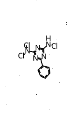 ClNc1nc(-c2ccccc2)nc(N(Cl)Cl)n1